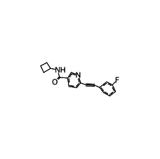 O=C(NC1CCC1)c1ccc(C#Cc2cccc(F)c2)nc1